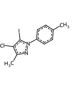 Cc1ccc(-n2nc(C)c(Cl)c2I)cc1